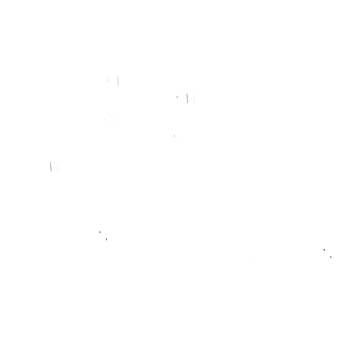 COC(CC(C)N1CCCC1c1ccc(C#N)cc1)OC